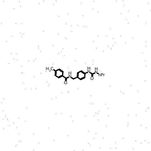 CCCNC(=O)Nc1ccc(CNC(=O)c2ccc(C)cc2)cc1